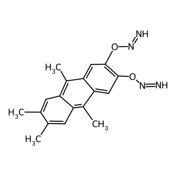 Cc1cc2c(C)c3cc(ON=N)c(ON=N)cc3c(C)c2cc1C